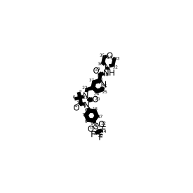 CC1(C)C(=O)N(c2ccc(S(=O)(=O)C(F)(F)F)cc2)C(=O)N1Cc1ccnc(C(=O)NN2CCOCC2)c1